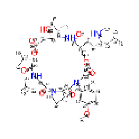 CC[C@H](C)[C@H]1NC(=O)[C@@H](CC[C@@H](CC(C)C)NC)COC(=O)[C@H](Cc2ccc(OC)cc2)N(C)C(=O)[C@@H]2CCCN2C(=O)[C@H](CC(C)C)NC(=O)[C@H](C(C)C)OC(=O)C[C@@H]1O